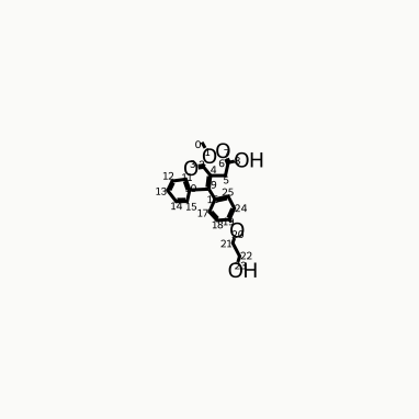 COC(=O)C(CC(=O)O)=C(c1ccccc1)c1ccc(OCCO)cc1